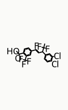 CC(F)(F)C(C=C(F)c1ccc(C(=O)O)c(C(F)(F)F)c1)c1ccc(Cl)c(Cl)c1